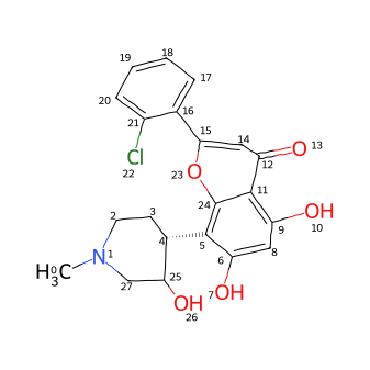 CN1CC[C@H](c2c(O)cc(O)c3c(=O)cc(-c4ccccc4Cl)oc23)C(O)C1